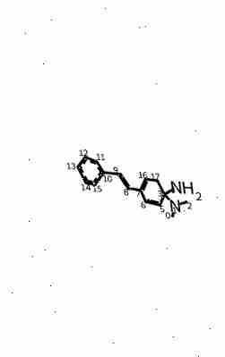 CN(C)C1(N)C=CC(C=Cc2ccccc2)=CC1